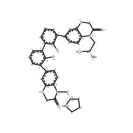 CCCC[C@H](C)CN1C(=O)COc2cc(-c3cccc(-c4cccc(-c5ccc6c(c5)OCC(=O)N6C[C@@H]5CCCN5)c4Cl)c3Cl)ccc21